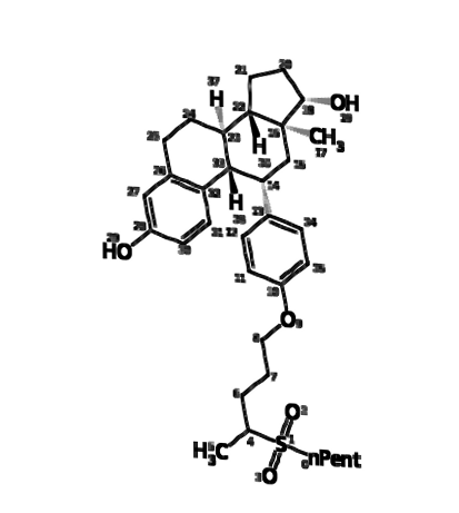 CCCCCS(=O)(=O)C(C)CCCOc1ccc([C@H]2C[C@]3(C)[C@@H](O)CC[C@H]3[C@@H]3CCc4cc(O)ccc4[C@H]32)cc1